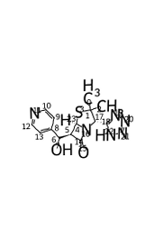 CC1(C)S[C@@H]2[C@H](C(O)c3ccncc3)C(=O)N2[C@H]1c1nnn[nH]1